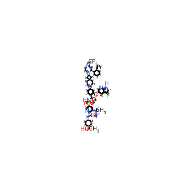 CC(C)c1ccccc1[C@@H]1CN(CC(F)(F)F)CCN1C1CC2(CCN(c3ccc(C(=O)NS(=O)(=O)c4cnc(NC[C@H]5CC[C@](C)(O)CC5)c([NH+](C)[O-])c4)c(Oc4cnc5[nH]cc(F)c5c4)c3)CC2)C1